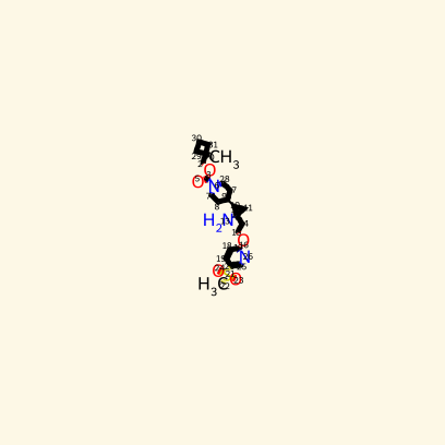 CC1(COC(=O)N2CCC([C@H]3C[C@@]3(N)CCOc3ccc(S(C)(=O)=O)cn3)CC2)CCC1